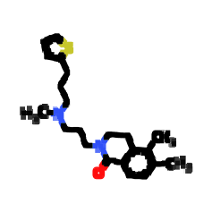 Cc1ccc2c(c1C)CCN(CCCN(C)CCCc1cccs1)C2=O